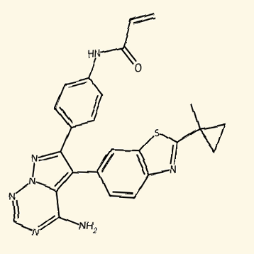 C=CC(=O)Nc1ccc(-c2nn3ncnc(N)c3c2-c2ccc3nc(C4(C)CC4)sc3c2)cc1